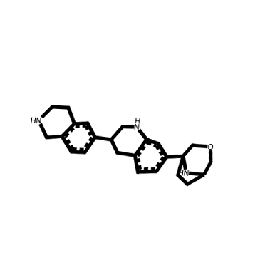 c1cc2c(cc1C1CNc3cc(C45CCC(COC4)N5)ccc3C1)CCNC2